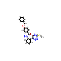 CCSc1nnc2c(n1)OC(c1ccc(OCc3ccccc3)cc1)Nc1ccccc1-2